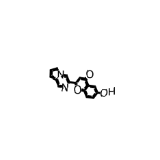 O=c1cc(-c2cn3cccc3cn2)oc2ccc(O)cc12